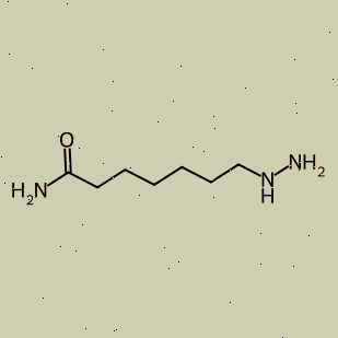 NNCCCCCCC(N)=O